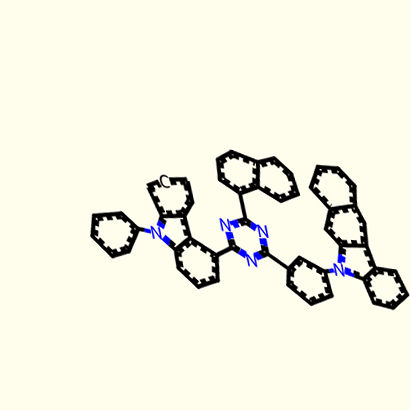 c1ccc(-n2c3ccccc3c3c(-c4nc(-c5cccc(-n6c7ccccc7c7cc8ccccc8cc76)c5)nc(-c5cccc6ccccc56)n4)cccc32)cc1